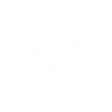 CSc1nc(Cl)c(C)c(C(F)(F)F)n1